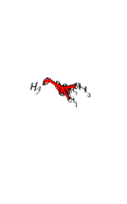 CCCCCCCCCCC(OC(=O)CC)C(=O)OCC(COC(=O)C(CCCCCCCCCC)OC(=O)CC)OC(=O)C(CCCCCCCCCC)OC(=O)CC